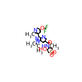 Cc1ncc(OC(F)F)cc1-c1nn(C(C)C)c2cc(C(=O)N[C@]3(C)CS(=O)(=O)C[C@H]3O)cnc12